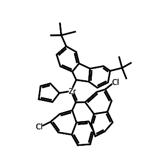 CC(C)(C)c1ccc2c(c1)-c1cc(C(C)(C)C)ccc1[CH]2[Zr](=[C](c1cc(Cl)cc2ccccc12)c1cc(Cl)cc2ccccc12)[CH]1C=CC=C1